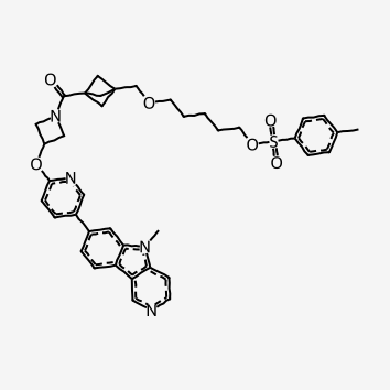 Cc1ccc(S(=O)(=O)OCCCCCOCC23CC(C(=O)N4CC(Oc5ccc(-c6ccc7c8cnccc8n(C)c7c6)cn5)C4)(C2)C3)cc1